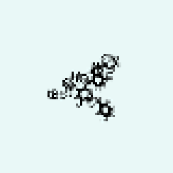 Cc1cc(NC(=O)OC(C)(C)C)c(C(O)c2ccc(F)c3c2cnn3C2CCCCO2)nc1OCc1ccccc1